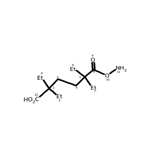 CCC(CC)(CCC(CC)(CC)C(=O)ON)C(=O)O